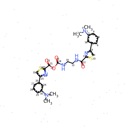 CN(C)c1cccc(-c2csc(C(=O)NCCNC(=O)OC(=O)c3nc(-c4cccc(N(C)C)c4)cs3)n2)c1